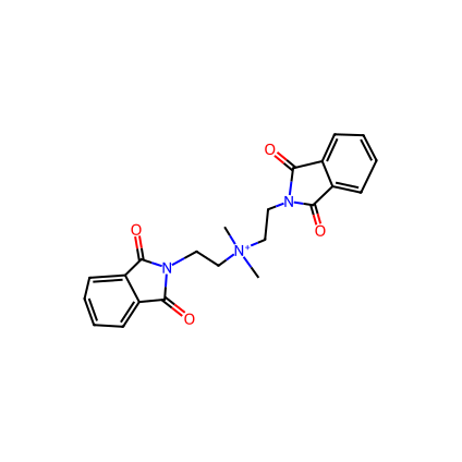 C[N+](C)(CCN1C(=O)c2ccccc2C1=O)CCN1C(=O)c2ccccc2C1=O